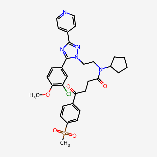 COc1ccc(-c2nc(-c3ccncc3)nn2CCN(C(=O)CCC(=O)c2ccc(S(C)(=O)=O)cc2)C2CCCC2)cc1Cl